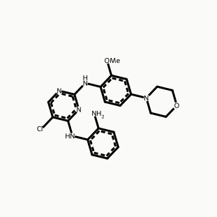 COc1cc(N2CCOCC2)ccc1Nc1ncc(Cl)c(Nc2ccccc2N)n1